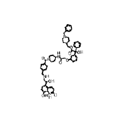 O=C(COc1cccc(C(O)(C(=O)OCC2CCN(Cc3ccccc3)CC2)c2ccccc2)c1)NC1CCN(C(=O)c2ccc(CNC[C@H](O)c3ccc(O)c4[nH]c(=O)ccc34)cc2)CC1